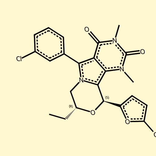 CC[C@@H]1Cn2c(-c3cccc(Cl)c3)c3c(=O)n(C)c(=O)n(C)c3c2[C@@H](c2ccc(Cl)o2)O1